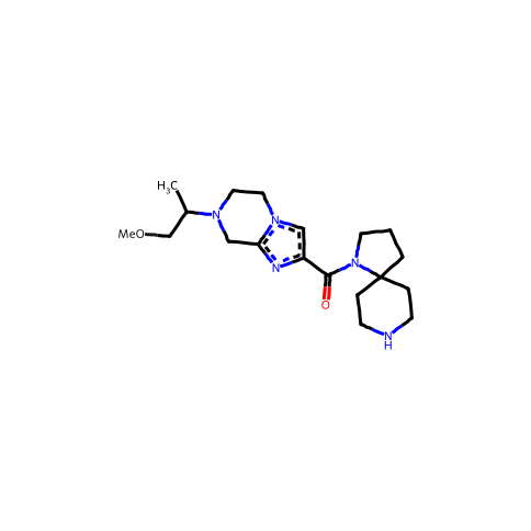 COCC(C)N1CCn2cc(C(=O)N3CCCC34CCNCC4)nc2C1